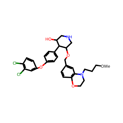 COCCCN1CCOc2ccc(COC3CNCC(O)C3c3ccc(Oc4ccc(Cl)c(Cl)c4)cc3)cc21